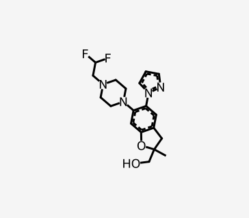 CC1(CO)Cc2cc(-n3cccn3)c(N3CCN(CC(F)F)CC3)cc2O1